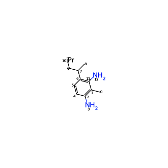 Cc1c(N)ccc(C(C)CC(C)C)c1N